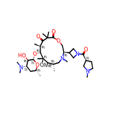 CO[C@]1(C)C[C@@H](C)CN(C)[C@H](C2CN(C(=O)[C@H]3CCN(C)C3)C2)COC(=O)C(C)(C)C(=O)[C@H](C)[C@H]1O[C@@H]1O[C@H](C)C[C@H](N(C)C)[C@H]1O